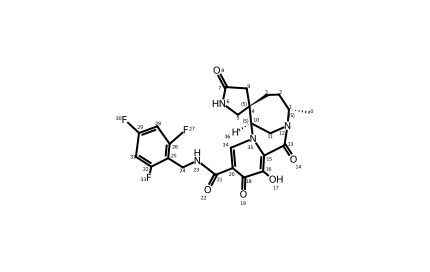 C[C@H]1CC[C@]2(CNC(=O)C2)[C@H]2CN1C(=O)c1c(O)c(=O)c(C(=O)NCc3c(F)cc(F)cc3F)cn12